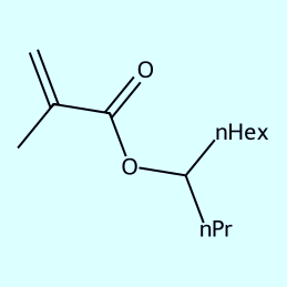 [CH2]CCC(CCCCCC)OC(=O)C(=C)C